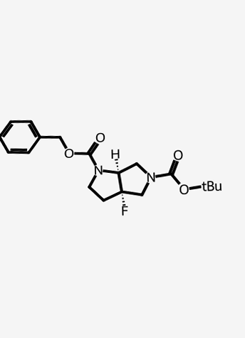 CC(C)(C)OC(=O)N1C[C@@H]2N(C(=O)OCc3ccccc3)CC[C@]2(F)C1